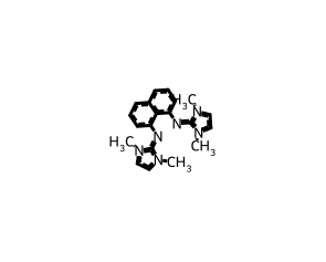 Cn1ccn(C)c1=Nc1cccc2cccc(N=c3n(C)ccn3C)c12